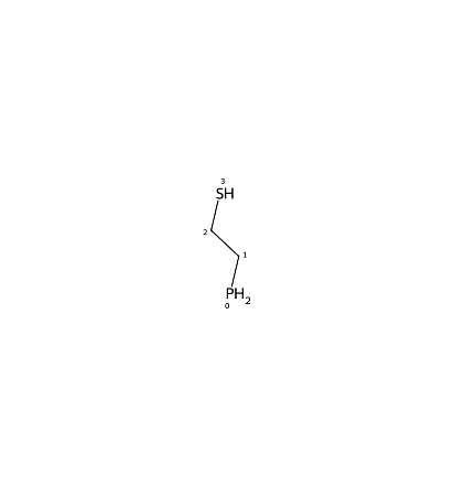 PCCS